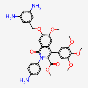 COC(=O)c1c(-c2cc(OC)c(OC)c(OC)c2)c2cc(OC)c(OCc3cc(N)cc(N)c3)cc2c(=O)n1-c1ccc(N)cc1